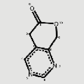 O=C1Cc2cncnc2CO1